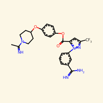 CC(=N)N1CCC(Oc2ccc(OC(=O)c3cc(C(F)(F)F)nn3-c3cccc(C(=N)N)c3)cc2)CC1